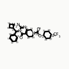 Nc1nc2c(c(=O)n1C(c1ccccc1)C1CCC1)CCN(C(=O)O[C@H]1CC[C@@H](C(F)(F)F)CC1)C2